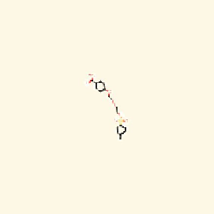 COC(=O)c1ccc(OCCOCCOS(=O)(=O)c2ccc(C)cc2)cc1